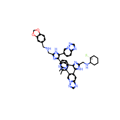 Cc1cccc(-c2nc(CNC3CCCC[C@H]3F)[nH]c2-c2cc3ncnn3cc2-c2ccc(-c3nc(CNCc4ccc5c(c4)OCO5)[nH]c3-c3ccc4ncnn4c3)nc2C)n1